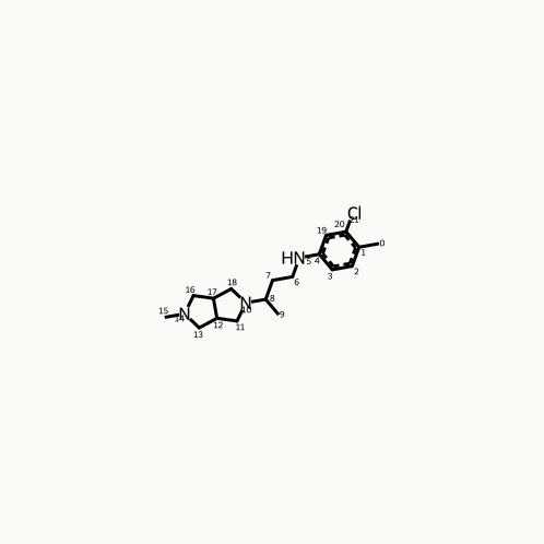 Cc1ccc(NCCC(C)N2CC3CN(C)CC3C2)cc1Cl